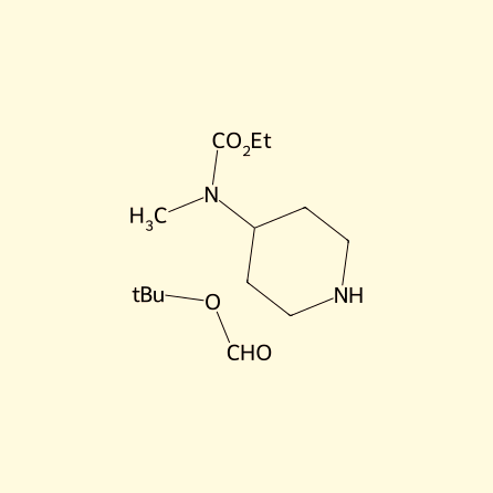 CC(C)(C)OC=O.CCOC(=O)N(C)C1CCNCC1